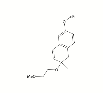 CCCOc1ccc2c(c1)C=CC(C)(OCCOC)C2